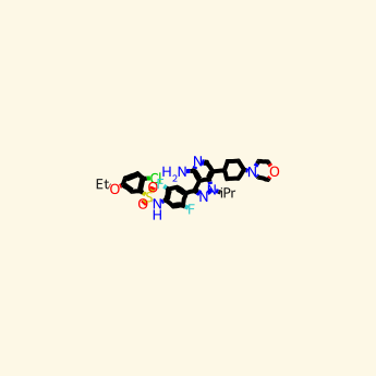 CCOc1ccc(Cl)c(S(=O)(=O)Nc2cc(F)c(-c3nn(C(C)C)c4c(C5CCC(N6CCOCC6)CC5)cnc(N)c34)cc2F)c1